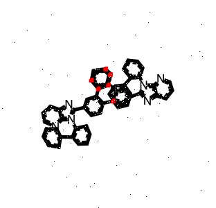 c1ccc(-c2cc(-c3nc4cccnc4n3-c3ccccc3-c3ccccc3)ccc2-c2ccc(-c3nc4cccnc4n3-c3ccccc3-c3ccccc3)cc2-c2ccccc2)cc1